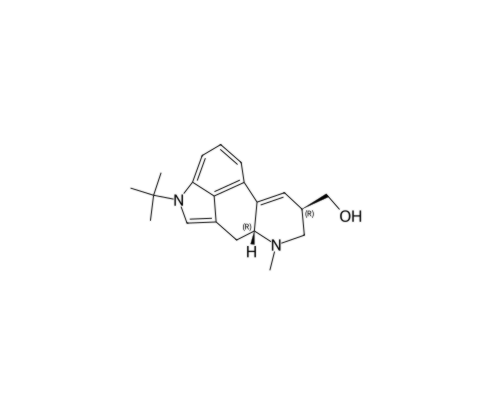 CN1C[C@H](CO)C=C2c3cccc4c3c(cn4C(C)(C)C)C[C@H]21